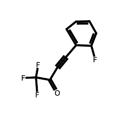 O=C(C#Cc1ccccc1F)C(F)(F)F